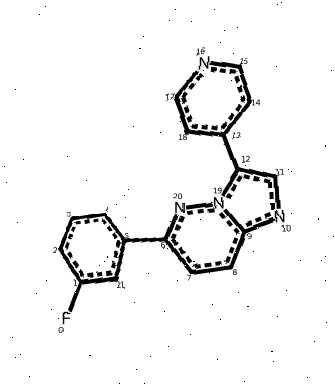 Fc1cccc(-c2ccc3ncc(-c4ccncc4)n3n2)c1